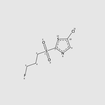 O=S(=O)(CCCF)c1ncc(Cl)s1